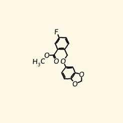 COC(=O)c1cc(F)ccc1COc1ccc2c(c1)OCO2